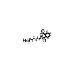 O=c1on(CCCCCCO)c(=O)c2ccccc12